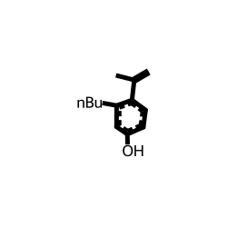 C=C(C)c1ccc(O)cc1CCCC